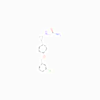 NC(=O)CN[C@H]1CC1c1ccc(OCc2cccc(F)c2)cc1